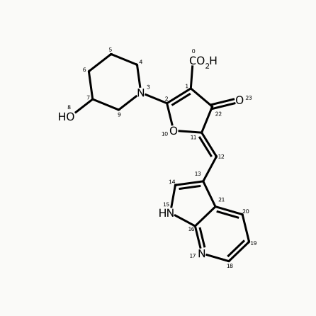 O=C(O)C1=C(N2CCCC(O)C2)OC(=Cc2c[nH]c3ncccc23)C1=O